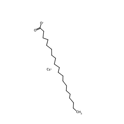 CCCCCCCCCCCCCCCCCCCC(=O)[O-].[Cs+]